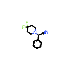 N#CC(c1ccccc1)N1CCC(F)(F)CC1